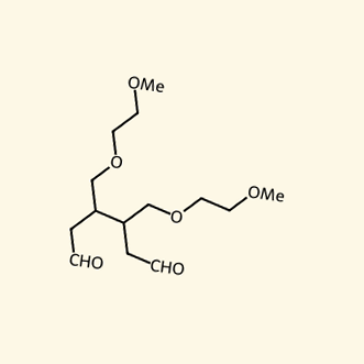 COCCOCC(CC=O)C(CC=O)COCCOC